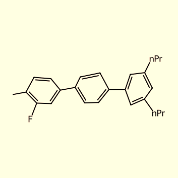 CCCc1cc(CCC)cc(-c2ccc(-c3ccc(C)c(F)c3)cc2)c1